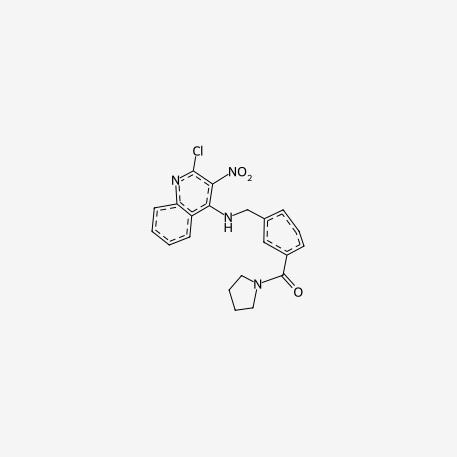 O=C(c1cccc(CNc2c([N+](=O)[O-])c(Cl)nc3ccccc23)c1)N1CCCC1